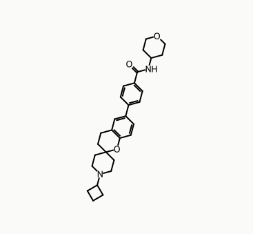 O=C(NC1CCOCC1)c1ccc(-c2ccc3c(c2)CCC2(CCN(C4CCC4)CC2)O3)cc1